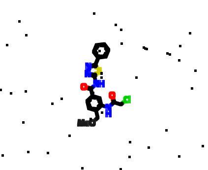 COCc1ccc(C(=O)Nc2nnc(-c3ccccc3)s2)cc1NC(=O)CCl